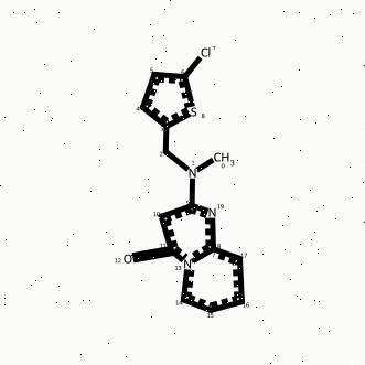 CN(Cc1ccc(Cl)s1)c1cc(=O)n2ccccc2n1